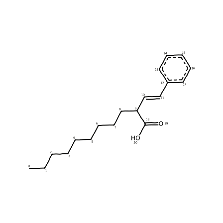 CCCCCCCCCC(/C=C/c1ccccc1)C(=O)O